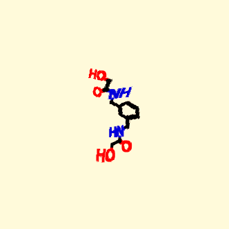 O=C(CO)NCc1cccc(CNC(=O)CO)c1